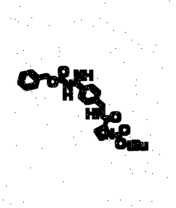 CC(C)(C)OC(=O)N1CC[C@H]1C(=O)NCc1ccc(C(=N)NC(=O)OCc2ccccc2)cc1